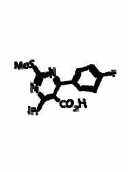 CSc1nc(-c2ccc(F)cc2)c(C(=O)O)c(C(C)C)n1